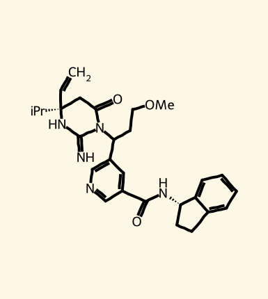 C=C[C@@]1(C(C)C)CC(=O)N(C(CCOC)c2cncc(C(=O)N[C@H]3CCc4ccccc43)c2)C(=N)N1